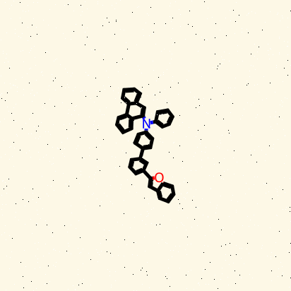 c1ccc(N(c2ccc(-c3cccc(-c4cc5ccccc5o4)c3)cc2)c2cc3ccccc3c3ccccc23)cc1